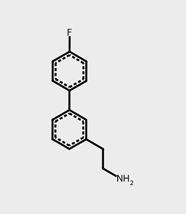 NCCc1cccc(-c2ccc(F)cc2)c1